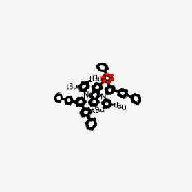 CC(C)(C)c1cc(N(c2cc(-c3ccc(C4CCCCC4)cc3)cc(-c3ccc(C4CCCCC4)cc3)c2)c2c3ccccc3c(N(c3cc(-c4ccc(C5CCCCC5)cc4)cc(-c4ccc(C5CCCCC5)cc4)c3)c3cc(C(C)(C)C)cc(C(C)(C)C)c3)c3cc(-c4ccccc4)ccc23)cc(C(C)(C)C)c1